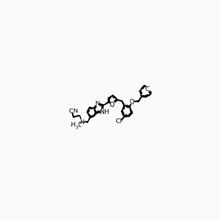 CN(CCC#N)Cc1ccc2nc(-c3ccc(Cc4cc(Cl)ccc4OCc4ccccc4)o3)[nH]c2c1